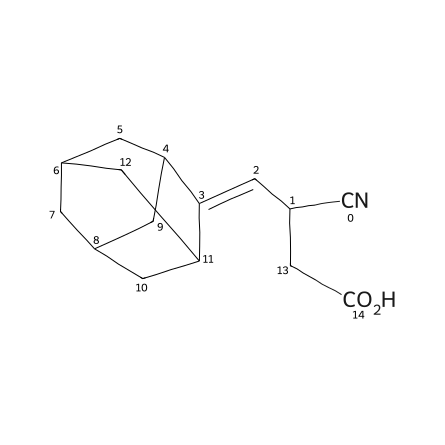 N#CC(C=C1C2CC3CC(C2)CC1C3)CC(=O)O